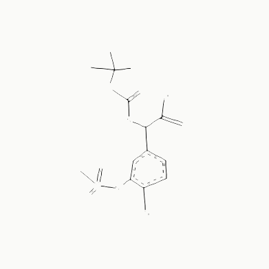 CC(C)(C)OC(=O)NC(C(=O)O)c1ccc(O)c(NS(C)(=O)=O)c1